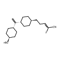 C=C([C@H]1CC[C@H](CC/C=C(\F)C#N)CC1)[C@H]1CC[C@H](CCCC)CC1